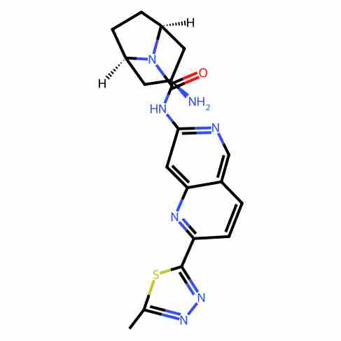 Cc1nnc(-c2ccc3cnc(NC(=O)N4[C@@H]5CC[C@H]4C[C@@H](N)C5)cc3n2)s1